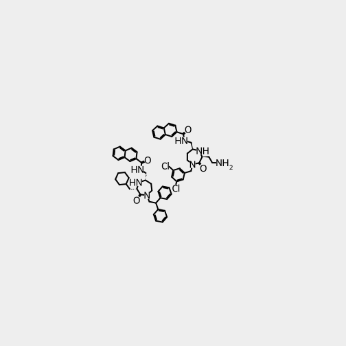 NCC[C@@H]1N[C@H](CNC(=O)c2ccc3ccccc3c2)CCN(Cc2cc(Cl)cc(Cl)c2)C1=O.O=C(NC[C@@H]1CCN(CC(c2ccccc2)c2ccccc2)C(=O)[C@H](CC2CCCCC2)N1)c1ccc2ccccc2c1